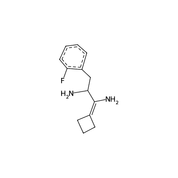 NC(=C1CCC1)C(N)Cc1ccccc1F